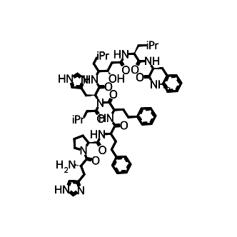 CC(C)CC(=O)N(C(=O)C(CCc1ccccc1)NC(=O)C(CCc1ccccc1)NC(=O)[C@@H]1CCCN1C(=O)[C@@H](N)Cc1c[nH]cn1)[C@@H](Cc1c[nH]cn1)C(=O)NC(CC(C)C)[C@@H](O)CC(=O)N[C@@H](CC(C)C)C(=O)N[C@@H](Cc1ccccc1)C(N)=O